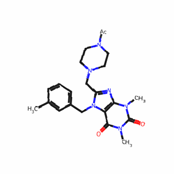 CC(=O)N1CCN(Cc2nc3c(c(=O)n(C)c(=O)n3C)n2Cc2cccc(C)c2)CC1